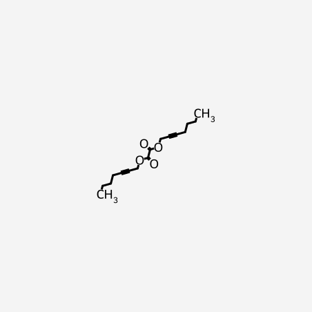 CCCCC#CCOC(=O)C(=O)OCC#CCCCC